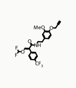 C#CCOc1ccc(CCNC(=O)C(=COC(F)F)c2ccc(C(F)(F)F)cc2)cc1OC